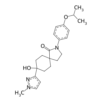 CC(C)Oc1ccc(N2CCC3(CCC(O)(c4ccn(C)n4)CC3)C2=O)cc1